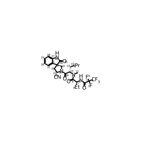 CC[C@H](NC(=O)C(F)(F)C(F)(F)F)C(=O)N(C)[C@@H](CC(C)C)C(=O)N1C[C@]2(C[C@H]1C#N)C(=O)Nc1ccccc12